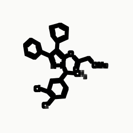 COCC(=O)Oc1c(-c2ccccc2)c(-c2ccccc2)nn1C(C)c1ccc(Cl)c(Cl)c1